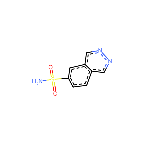 NS(=O)(=O)c1ccc2cnncc2c1